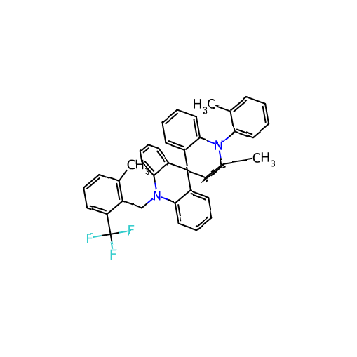 Cc1ccccc1N1c2ccccc2C2(c3ccccc3N(Cc3c(C)cccc3C(F)(F)F)c3ccccc32)c2cccc(C)c21